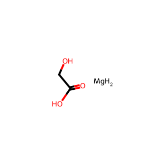 O=C(O)CO.[MgH2]